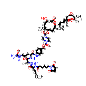 CC[C@H](O)[C@@H](C)[C@H]1O[C@@H]1C[C@@](C)(O)/C=C/C=C(\C)[C@H]1OC(=O)C[C@H](O)CC[C@@](C)(OC(C)=O)[C@@H](OC(=O)N2CCN(C(=O)OCc3ccc(NC(=O)[C@H](CCCNC(N)=O)NC(=O)[C@@H](NC(=O)[C@H](CCC(=O)O)NC(=O)CCCCCN4C(=O)C=CC4=O)C(C)C)cc3)CC2)/C=C/[C@@H]1C